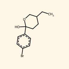 CCC1CCC(O)(c2ccc(Br)cc2)OC1